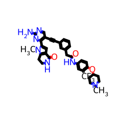 CN1CCC(Oc2ccc(NC(=O)Cc3cccc(C#Cc4cnc(N)nc4-c4cc5c(n4C)CCNC5=O)c3)cc2C(F)(F)F)CC1